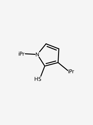 CC(C)c1ccn(C(C)C)c1S